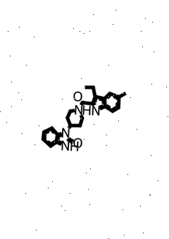 CCc1c(C(=O)N2CCC(n3c(=O)[nH]c4ccccc43)CC2)[nH]c2ccc(C)cc12